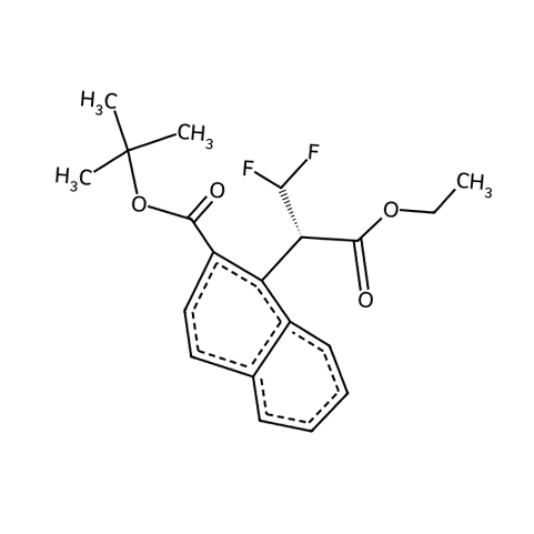 CCOC(=O)[C@H](c1c(C(=O)OC(C)(C)C)ccc2ccccc12)C(F)F